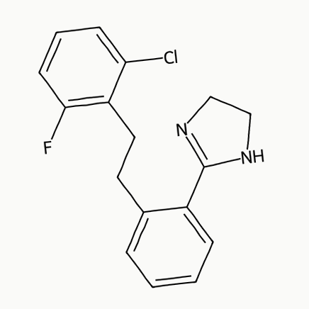 Fc1cccc(Cl)c1CCc1ccccc1C1=NCCN1